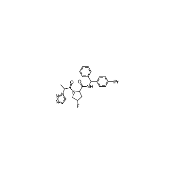 CC(C)c1ccc(C(NC(=O)C2CC(F)CN2C(=O)C(C)n2ccnn2)c2ccccc2)cc1